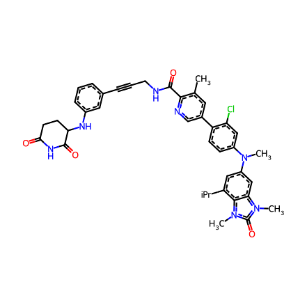 Cc1cc(-c2ccc(N(C)c3cc(C(C)C)c4c(c3)n(C)c(=O)n4C)cc2Cl)cnc1C(=O)NCC#Cc1cccc(NC2CCC(=O)NC2=O)c1